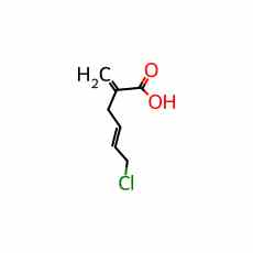 C=C(CC=CCCl)C(=O)O